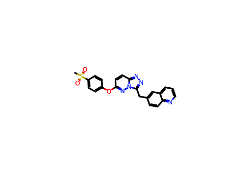 CS(=O)(=O)c1ccc(Oc2ccc3nnc(Cc4ccc5ncccc5c4)n3n2)cc1